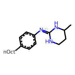 CCCCCCCCc1ccc(/N=C2\NCCC(C)N2)cc1